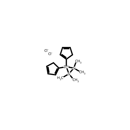 C[Si]1(C)[Si](C)(C)[Zr+2]1([C]1=CC=CC1)[C]1=CC=CC1.[Cl-].[Cl-]